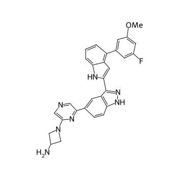 COc1cc(F)cc(-c2cccc3[nH]c(-c4n[nH]c5ccc(-c6cncc(N7CC(N)C7)n6)cc45)cc23)c1